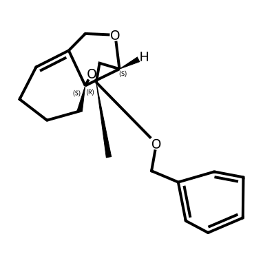 C[C@]1(OCc2ccccc2)C[C@@H]2OCC3=CCCC[C@]32O1